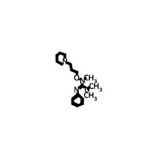 CN(C)/C(=N\c1ccccc1)N(C)OCCCN1CCCCC1